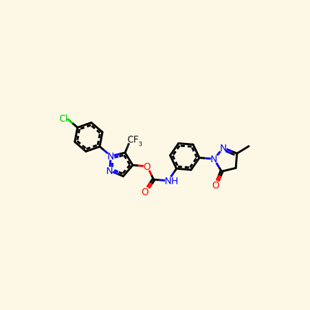 CC1=NN(c2cccc(NC(=O)Oc3cnn(-c4ccc(Cl)cc4)c3C(F)(F)F)c2)C(=O)C1